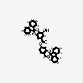 O=C(Oc1ccc2c(c1)OC(c1ccccc1)(c1ccccc1)OC2)c1cc(O)c2c(c1)OC(c1ccccc1)(c1ccccc1)O2